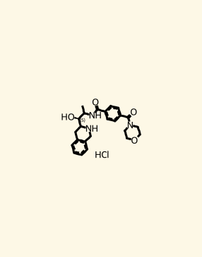 CC(NC(=O)c1ccc(C(=O)N2CCOCC2)cc1)[C@H](O)C1Cc2ccccc2CN1.Cl